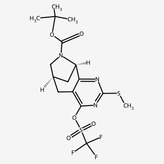 CSc1nc(OS(=O)(=O)C(F)(F)F)c2c(n1)[C@H]1C[C@@H](C2)CN1C(=O)OC(C)(C)C